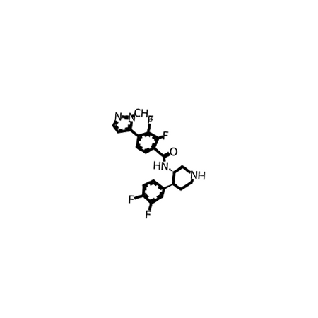 Cn1nccc1-c1ccc(C(=O)N[C@@H]2CNCC[C@H]2c2ccc(F)c(F)c2)c(F)c1F